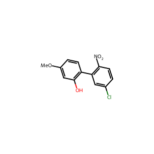 COc1ccc(-c2cc(Cl)ccc2[N+](=O)[O-])c(O)c1